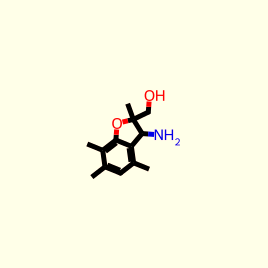 Cc1cc(C)c2c(c1C)OC(C)(CO)C2N